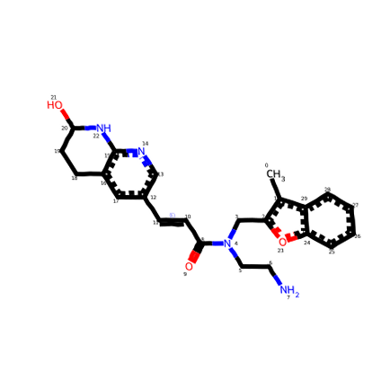 Cc1c(CN(CCN)C(=O)/C=C/c2cnc3c(c2)CCC(O)N3)oc2ccccc12